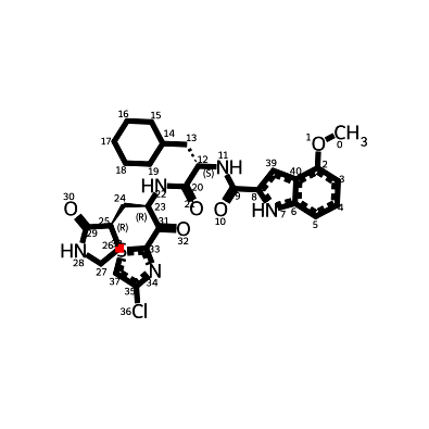 COc1cccc2[nH]c(C(=O)N[C@@H](CC3CCCCC3)C(=O)N[C@H](C[C@H]3CCNC3=O)C(=O)c3nc(Cl)cs3)cc12